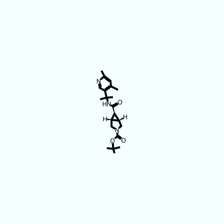 Cc1cc(C)c(C(C)(C)NC(=O)[C@H]2[C@@H]3CN(C(=O)OC(C)(C)C)C[C@@H]32)cn1